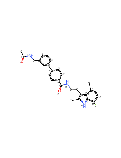 CC(=O)NCc1cccc(-c2ccc(C(=O)NCCc3c(C)[nH]c4c(F)ccc(C)c34)cc2)c1